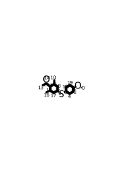 COc1ccc(Sc2cc(C)c(C(C)=O)c(C)c2)cc1